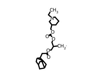 [CH2]C(COC(=O)CC1C2CC3CC(C2)CC1C3)COC(=O)OCC1CCCN(CC)C1